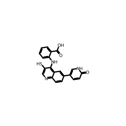 O=C(O)c1ccccc1Nc1c(S)cnc2ccc(-c3ccc(=O)[nH]c3)cc12